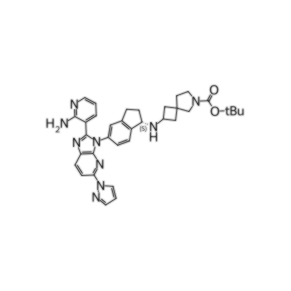 CC(C)(C)OC(=O)N1CCC2(CC(N[C@H]3CCc4cc(-n5c(-c6cccnc6N)nc6ccc(-n7cccn7)nc65)ccc43)C2)C1